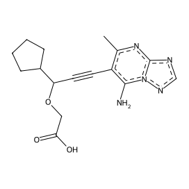 Cc1nc2ncnn2c(N)c1C#CC(OCC(=O)O)C1CCCC1